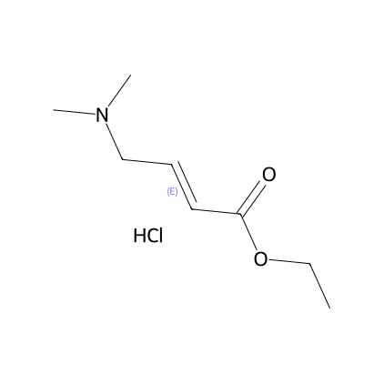 CCOC(=O)/C=C/CN(C)C.Cl